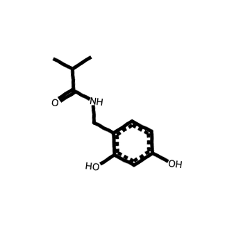 CC(C)C(=O)NCc1ccc(O)cc1O